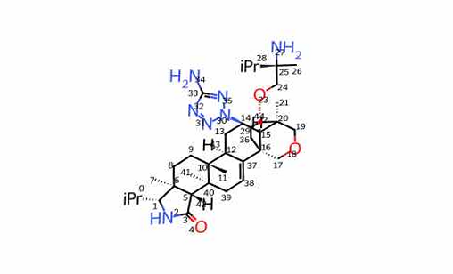 CC(C)[C@H]1NC(=O)[C@@H]2[C@]1(C)CC[C@]1(C)[C@H]3CC[C@@H]4[C@@]5(COC[C@]4(C)[C@@H](OC[C@@](C)(N)C(C)C)[C@H](n4nnc(N)n4)C5)C3=CC[C@@]21C